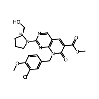 COC(=O)c1cc2cnc(N3CCC[C@H]3CO)nc2n(Cc2ccc(OC)c(Cl)c2)c1=O